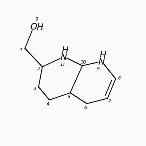 OCC1CCC2CC=CNC2N1